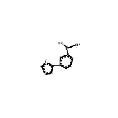 OB(O)c1cccc(-c2cscn2)c1